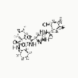 Cc1ccc(S(=O)(=O)Nc2ccccc2CNC(=O)c2cc(NC(=O)c3cc(F)c(F)cc3Cl)[nH]n2)cc1